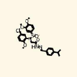 COc1ccc([S+]([O-])N(CC(=O)N/N=C/c2ccc(C(C)C)cc2)c2cc(Cl)ccc2OC)cc1OC